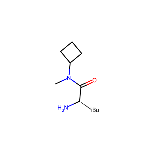 CCC(C)[C@H](N)C(=O)N(C)C1CCC1